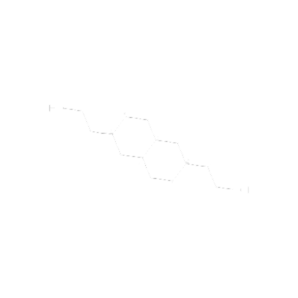 OCCC1CCC2CC(CCO)CCC2C1